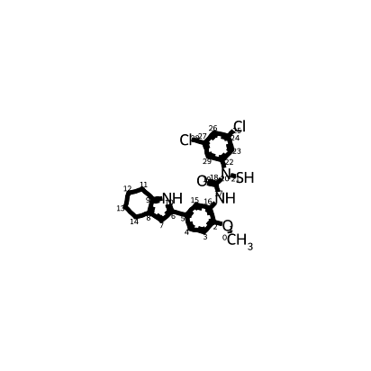 COc1ccc(-c2cc3c([nH]2)CCCC3)cc1NC(=O)N(S)c1cc(Cl)cc(Cl)c1